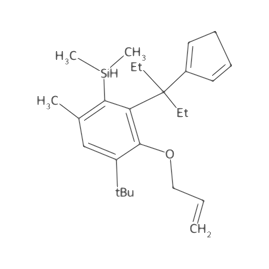 C=CCOc1c(C(C)(C)C)cc(C)c([SiH](C)C)c1C(CC)(CC)C1=CCC=C1